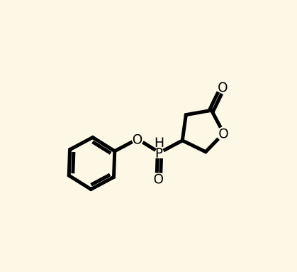 O=C1CC([PH](=O)Oc2ccccc2)CO1